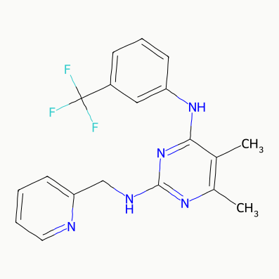 Cc1nc(NCc2ccccn2)nc(Nc2cccc(C(F)(F)F)c2)c1C